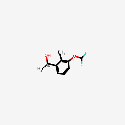 Bc1c(OC(F)F)cccc1[C@@H](C)O